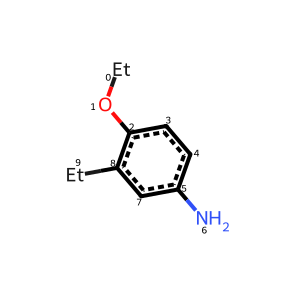 CCOc1ccc(N)cc1CC